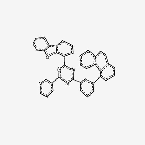 c1cncc(-c2nc(-c3cccc(-c4cccc5ccc6ccccc6c45)c3)nc(-c3cccc4c3oc3ccccc34)n2)c1